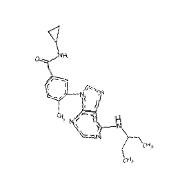 CCC(CC)Nc1ncnc2c1ncn2-c1cc(C(=O)NC2CC2)ccc1C